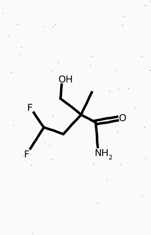 CC(CO)(CC(F)F)C(N)=O